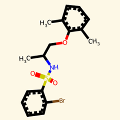 Cc1cccc(C)c1OCC(C)NS(=O)(=O)c1ccccc1Br